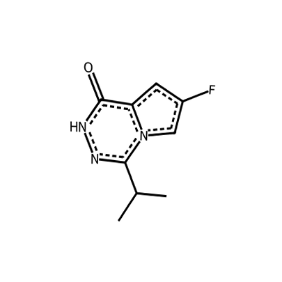 CC(C)c1n[nH]c(=O)c2cc(F)cn12